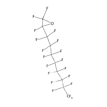 FC(F)(F)C(F)(F)C(F)(F)C(F)(F)C(F)(F)C(F)(F)C(F)(F)C(F)(F)C1(F)OC1(F)F